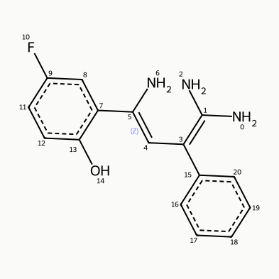 NC(N)=C(/C=C(\N)c1cc(F)ccc1O)c1ccccc1